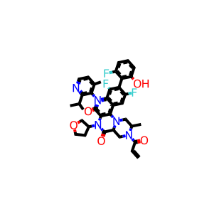 C=CC(=O)N1CC2C(=O)N(C3CCOC3)c3c(c4cc(F)c(-c5c(O)cccc5F)c(F)c4n(-c4c(C)ccnc4C(C)C)c3=O)N2CC1C